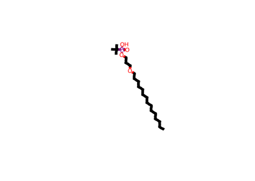 CCCCCCCCCCCCCCCOCCCOP(=O)(O)C(C)(C)C